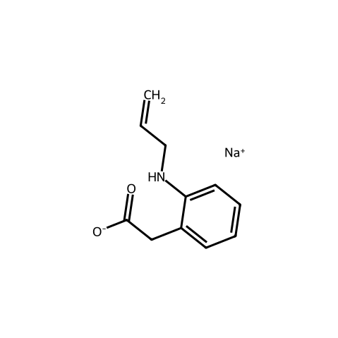 C=CCNc1ccccc1CC(=O)[O-].[Na+]